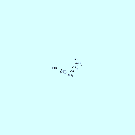 Br.Br.C.C.C.C.[MgH2].[MgH2]